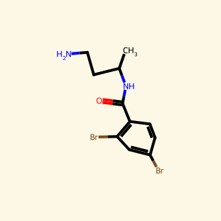 CC(CCN)NC(=O)c1ccc(Br)cc1Br